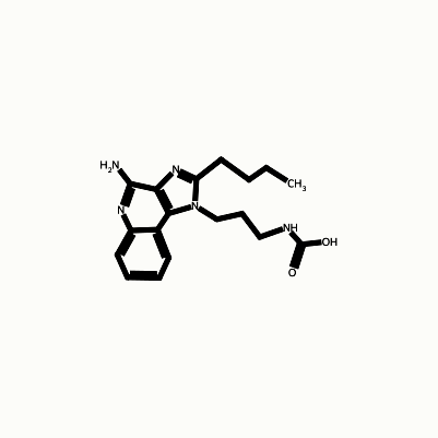 CCCCc1nc2c(N)nc3ccccc3c2n1CCCNC(=O)O